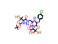 CC(C)(C)OC(=O)N[C@@H](C(=O)NCC(=O)N[C@@H](Cc1ccc(Cl)cc1)C(=O)N[C@@H](C(=O)O)C(C)(C)S)C(C)(C)S